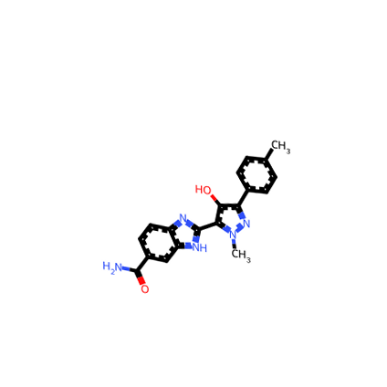 Cc1ccc(-c2nn(C)c(-c3nc4ccc(C(N)=O)cc4[nH]3)c2O)cc1